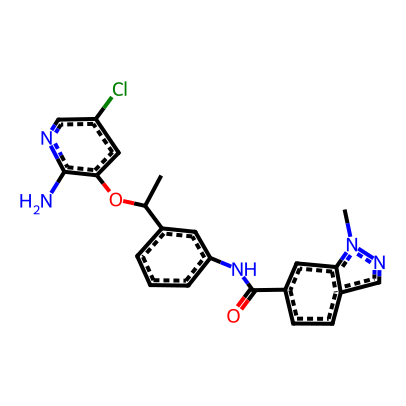 CC(Oc1cc(Cl)cnc1N)c1cccc(NC(=O)c2ccc3cnn(C)c3c2)c1